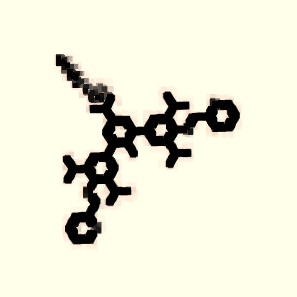 Cc1c(-c2cc(C(C)C)c(N=Cc3ccccn3)c(C(C)C)c2)cc(C(C)C)cc1-c1cc(C(C)C)c(N=Cc2ccccn2)c(C(C)C)c1.[Br-].[Br-].[Br-].[Br-].[Cu+2].[Cu+2]